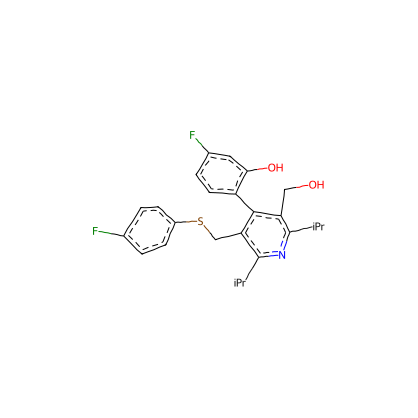 CC(C)c1nc(C(C)C)c(CSc2ccc(F)cc2)c(-c2ccc(F)cc2O)c1CO